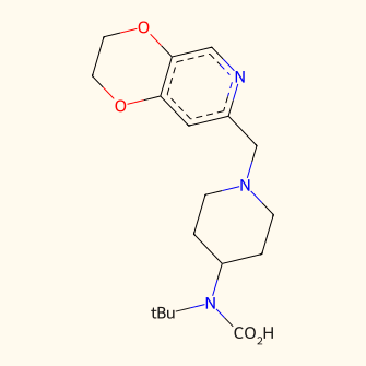 CC(C)(C)N(C(=O)O)C1CCN(Cc2cc3c(cn2)OCCO3)CC1